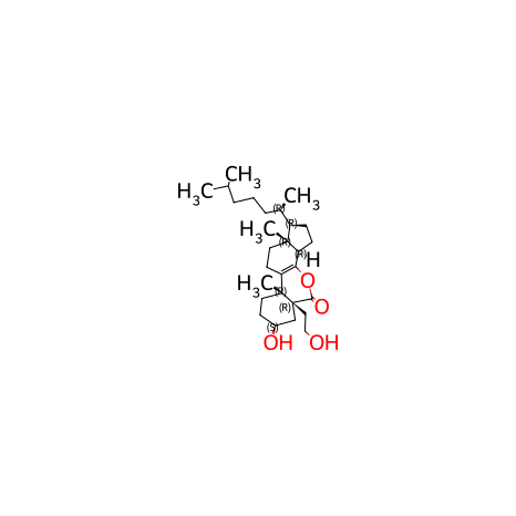 CC(C)CCC[C@@H](C)[C@H]1CC[C@H]2C3=C(CC[C@]12C)[C@@]1(C)CC[C@H](O)C[C@@]1(CCO)C(=O)O3